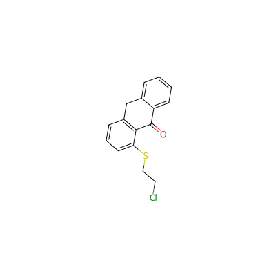 O=C1c2ccccc2Cc2cccc(SCCCl)c21